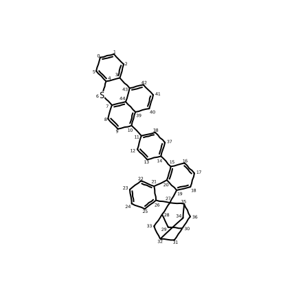 c1ccc2c(c1)Sc1ccc(-c3ccc(-c4cccc5c4-c4ccccc4C54C5CC6CC(C5)CC4C6)cc3)c3cccc-2c13